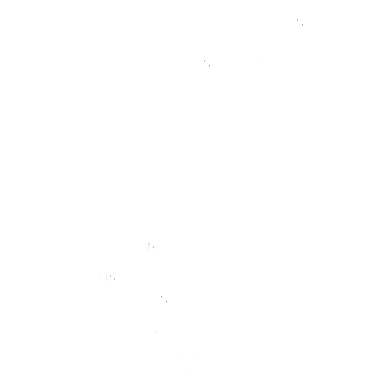 O=C(Nc1nc2cc(OS(=O)(=O)c3ccc(NCC4CCNCC4)cc3)ccc2[nH]1)C1CC1